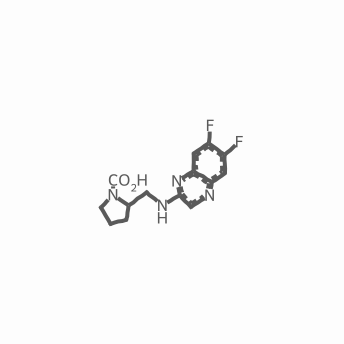 O=C(O)N1CCCC1CNc1cnc2cc(F)c(F)cc2n1